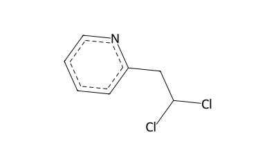 ClC(Cl)Cc1ccccn1